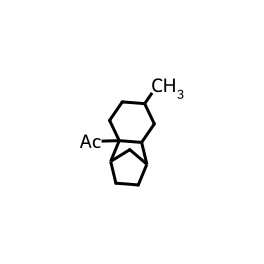 CC(=O)C12CCC(C)CC1C1CCC2C1